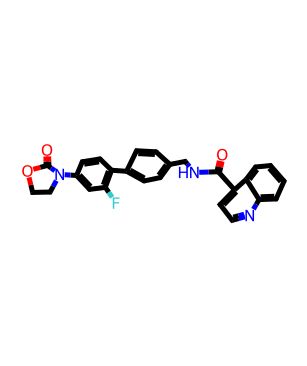 O=C(NCc1ccc(-c2ccc(N3CCOC3=O)cc2F)cc1)c1ccnc2ccccc12